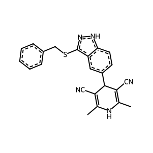 CC1=C(C#N)C(c2ccc3[nH]nc(SCc4ccccc4)c3c2)C(C#N)=C(C)N1